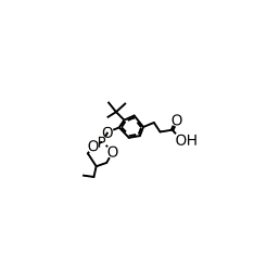 CCC1COP(Oc2ccc(CCC(=O)O)cc2C(C)(C)C)OC1